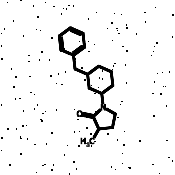 CC1CCN(C2CCCC(Cc3ccccc3)C2)C1=O